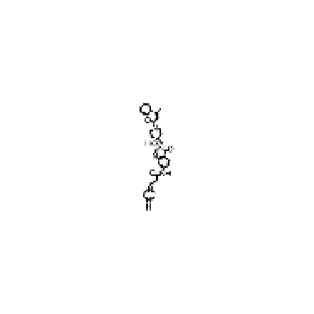 C[C@@H](CC(=O)N1CCC(O)(Cn2cnc3cc(NC(=O)CCN4CCNCC4)ccc3c2=O)CC1)C1=CCCC=C1